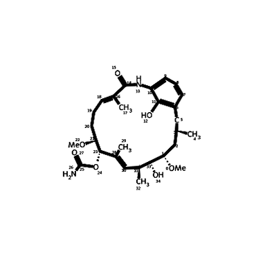 CO[C@H]1C[C@H](C)Cc2cccc(c2O)NC(=O)/C(C)=C/CC[C@H](OC)[C@@H](OC(N)=O)/C(C)=C/[C@H](C)[C@H]1O